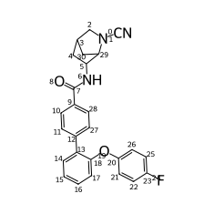 N#CN1CC2CC(NC(=O)c3ccc(-c4ccccc4Oc4ccc(F)cc4)cc3)C1C2